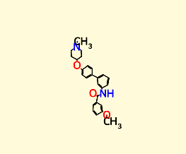 COc1cccc(C(=O)Nc2cccc(-c3ccc(OC4CCN(C)CC4)cc3)c2)c1